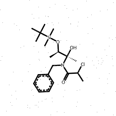 CC(Cl)C(=O)N(Cc1ccccc1)[C@](C)(O)[C@@H](C)O[Si](C)(C)C(C)(C)C